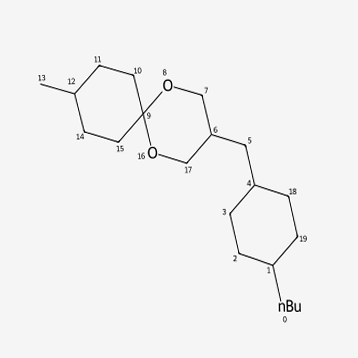 CCCCC1CCC(CC2COC3(CCC(C)CC3)OC2)CC1